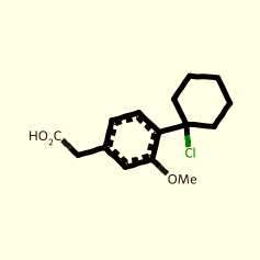 COc1cc(CC(=O)O)ccc1C1(Cl)CCCCC1